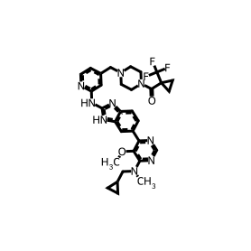 COc1c(-c2ccc3nc(Nc4cc(CN5CCN(C(=O)C6(C(F)(F)F)CC6)CC5)ccn4)[nH]c3c2)ncnc1N(C)CC1CC1